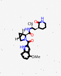 COc1cccc2[nH]c(C(=O)N3C[C@@H]4C[C@@H]4[C@H]3C(=O)N[C@H](C#N)C[C@@H]3CCCNC3=O)cc12